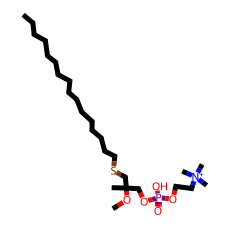 CCCCCCCCCCCCCCCCSCC(C)(COP(=O)(O)OCC[N+](C)(C)C)OC